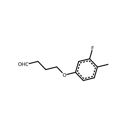 Cc1ccc(OCCCC=O)cc1F